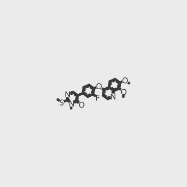 COc1ccc2c(Oc3ccc(-c4cnc(SC)n(C)c4=O)cc3F)ccnc2c1OC